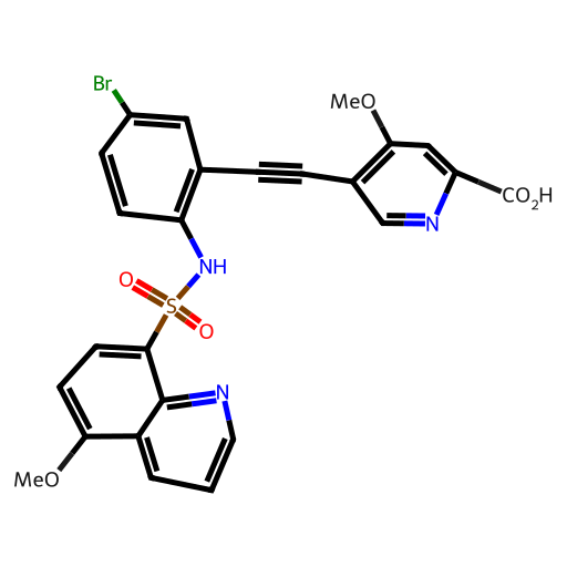 COc1cc(C(=O)O)ncc1C#Cc1cc(Br)ccc1NS(=O)(=O)c1ccc(OC)c2cccnc12